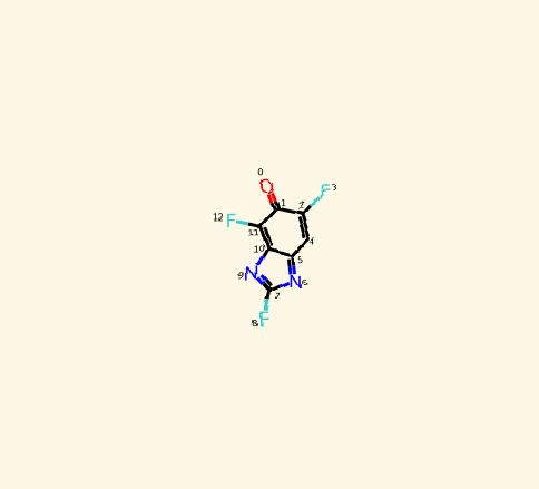 O=C1C(F)=CC2=NC(F)=NC2=C1F